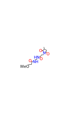 COCCC(=O)NCCNC(=O)CCN1C(=O)CC(C)C1=O